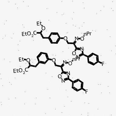 CCCON=C(COc1ccc(CC(OCC)C(=O)OCC)cc1)c1nc(-c2ccc(F)cc2)no1.CCCON=C(COc1cccc(CC(OCC)C(=O)OCC)c1)c1nc(-c2ccc(F)cc2)no1